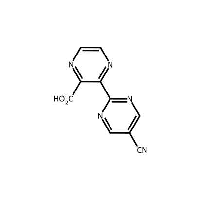 N#Cc1cnc(-c2nccnc2C(=O)O)nc1